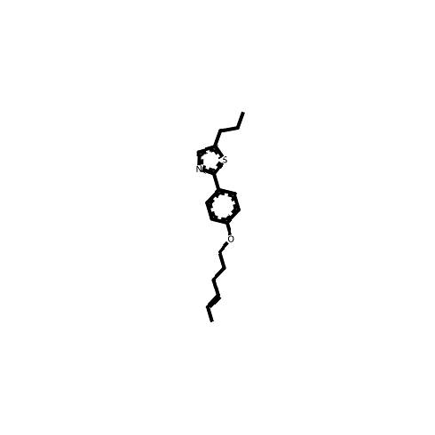 CC=CCCCOc1ccc(-c2ncc(CCC)s2)cc1